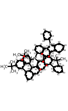 CC(C)(C)c1cc(-c2cccc3cccc(-c4ccccc4N(c4ccccc4-c4ccc5c(c4)C(C)(C)c4ccccc4-5)c4ccccc4-c4ccc5c(c4)c4ccccc4n5-c4ccccc4)c23)cc(C(C)(C)C)c1